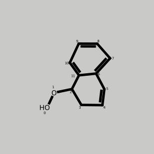 OOC1CC=Cc2ccccc21